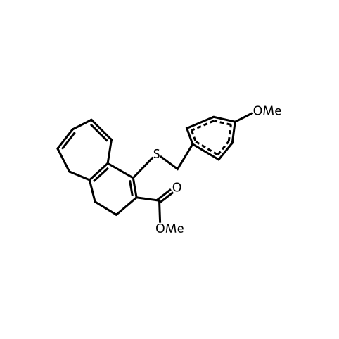 COC(=O)C1=C(SCc2ccc(OC)cc2)C2=C(CC=CC=C2)CC1